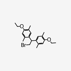 CCOc1cc(C)c(C(CBr)c2cc(C)c(OCC)cc2C)cc1C